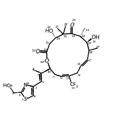 C/C(=C\c1csc(CO)n1)C1C/C=C(/C(F)(F)F)C/C=C/C(C)[C@H](O)[C@@H](C)C(=O)C(C)(C)[C@@H](O)CC(=O)O1